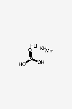 O=[Si](O)O.[KH].[LiH].[Mn]